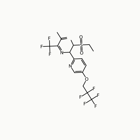 C=C(C)/C(=N\C(c1ccc(OCC(F)(F)C(F)(F)F)cn1)C(C)S(=O)(=O)CC)C(F)(F)F